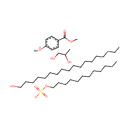 CC(O)CO.CCCCCCCCCCCCCCCCCCO.CCCCCCCCCCCCOS(=O)(=O)[O-].COC(=O)c1ccc(O)cc1.[Na+]